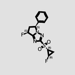 O=S(=O)(c1nc2n(n1)[C@H](c1ccccc1)C[C@@H]2F)[C@@H]1C[C@H]1F